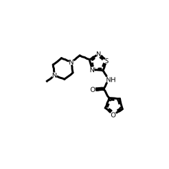 CN1CCN(Cc2nsc(NC(=O)c3ccoc3)n2)CC1